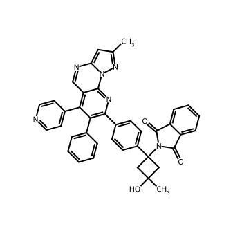 Cc1cc2ncc3c(-c4ccncc4)c(-c4ccccc4)c(-c4ccc(C5(N6C(=O)c7ccccc7C6=O)CC(C)(O)C5)cc4)nc3n2n1